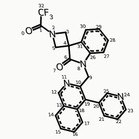 O=C(N1CC2(C1)C(=O)N(Cc1ncc3ccccc3c1-c1cccnc1)c1ccccc12)C(F)(F)F